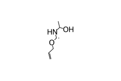 C=CCO[CH]NC(C)O